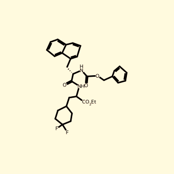 CCOC(=O)C(CC1CCC(F)(F)CC1)NC(=O)[C@H](Cc1cccc2ccccc12)NC(=O)OCc1ccccc1